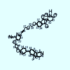 Cn1c2ccncc2c2ccc(-c3ccc(O[C@H]4C[C@H](Oc5ccc(C#CCOCCOc6ccc7c(c6)C(=O)N(C6CCC(=O)NC6=O)C7=O)nc5C#N)C4)nc3)cc21